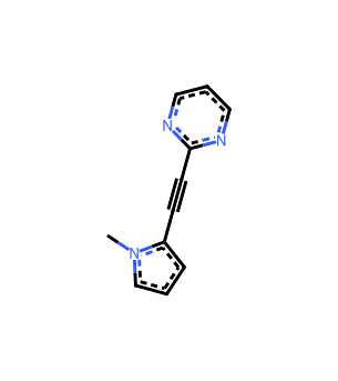 Cn1cccc1C#Cc1ncccn1